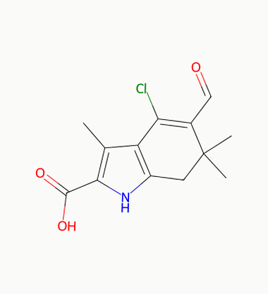 Cc1c(C(=O)O)[nH]c2c1C(Cl)=C(C=O)C(C)(C)C2